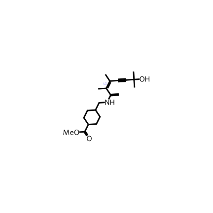 C=C(NCC1CCC(C(=O)OC)CC1)/C(C)=C(/C)C#CC(C)(C)O